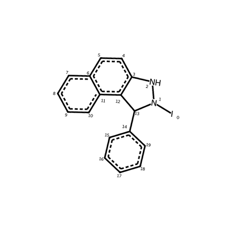 IN1Nc2ccc3ccccc3c2C1c1ccccc1